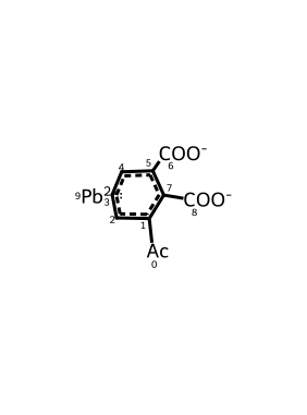 CC(=O)c1cccc(C(=O)[O-])c1C(=O)[O-].[Pb+2]